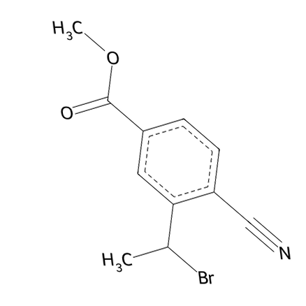 COC(=O)c1ccc(C#N)c(C(C)Br)c1